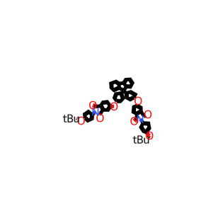 CC(C)(C)Oc1ccc(N2C(=O)c3ccc(Oc4ccc(C5(c6ccc(Oc7ccc8c(c7)C(=O)N(c7ccc(OC(C)(C)C)cc7)C8=O)cc6)c6ccccc6-c6ccccc65)cc4)cc3C2=O)cc1